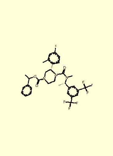 Cc1cc(F)ccc1[C@H]1CN(C(=O)OC(C)c2ccccc2)CCN1C(=O)N(C)[C@@H](C)c1cc(C(F)(F)F)cc(C(F)(F)F)c1